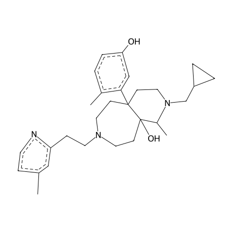 Cc1ccnc(CCN2CCC3(c4cc(O)ccc4C)CCN(CC4CC4)C(C)C3(O)CC2)c1